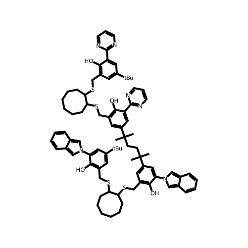 CC(C)(C)c1cc(CSC2CCCCCCC2SCc2cc(C(C)(C)CCC(C)(C)c3cc(CSC4CCCCCCC4SCc4cc(C(C)(C)C)cc(-n5cc6ccccc6c5)c4O)c(O)c(-n4cc5ccccc5c4)c3)cc(-c3ncccn3)c2O)c(O)c(-c2ncccn2)c1